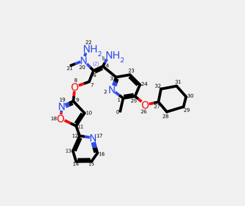 Cc1nc(/C(N)=C(\COc2cc(-c3ccccn3)on2)N(C)N)ccc1OC1CCCCC1